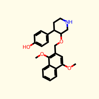 COc1cc(COC2CNCCC2c2ccc(O)cc2)c(OC)c2ccccc12